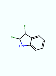 FC1Nc2ccccc2C1F